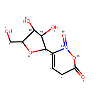 O=C1CC=C(C2OC(CO)C(O)C2O)[N+](=O)O1